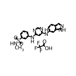 CNS(=O)(=O)c1cccc(Nc2cc(Nc3ccc4cn[nH]c4c3)ncn2)c1.O=C(O)C(F)(F)F